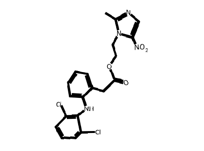 Cc1ncc([N+](=O)[O-])n1CCOC(=O)Cc1ccccc1Nc1c(Cl)cccc1Cl